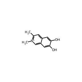 Cc1cc2cc(O)c(O)cc2c[n+]1C